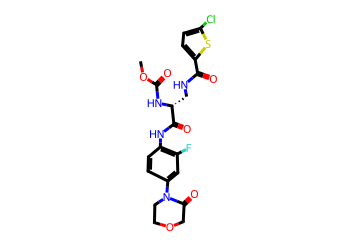 COC(=O)N[C@H](CNC(=O)c1ccc(Cl)s1)C(=O)Nc1ccc(N2CCOCC2=O)cc1F